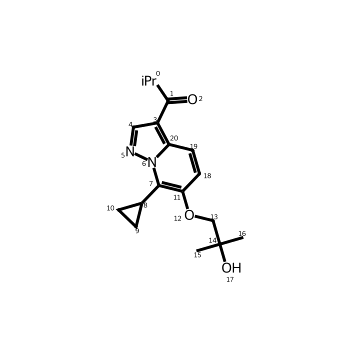 CC(C)C(=O)c1cnn2c(C3CC3)c(OCC(C)(C)O)ccc12